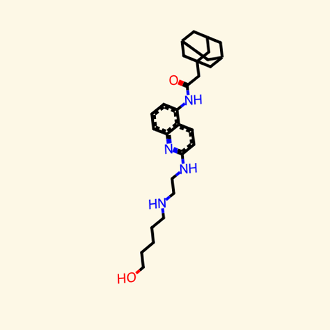 O=C(CC12CC3CC(CC(C3)C1)C2)Nc1cccc2nc(NCCNCCCCCO)ccc12